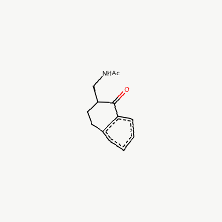 CC(=O)NCC1CCc2ccccc2C1=O